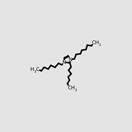 CCCCCCCCN1C=CN(CCCCCCCC)C1CCCCCCC